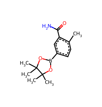 Cc1ccc(B2OC(C)(C)C(C)(C)O2)cc1C(N)=O